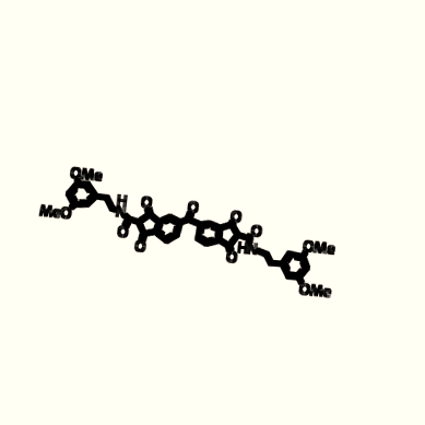 COc1cc(CCNC(=O)C2C(=O)c3ccc(C(=O)c4ccc5c(c4)C(=O)C(C(=O)NCCc4cc(OC)cc(OC)c4)C5=O)cc3C2=O)cc(OC)c1